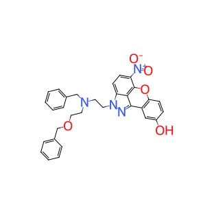 O=[N+]([O-])c1ccc2c3c(nn2CCN(CCOCc2ccccc2)Cc2ccccc2)-c2cc(O)ccc2Oc13